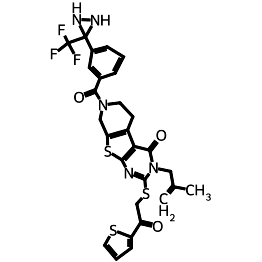 C=C(C)Cn1c(SCC(=O)c2cccs2)nc2sc3c(c2c1=O)CCN(C(=O)c1cccc(C2(C(F)(F)F)NN2)c1)C3